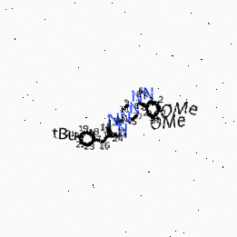 COc1cc2ncnc(N3CCN(c4ncc(Cc5ccc(C(C)(C)C)cc5)cn4)CC3)c2cc1OC